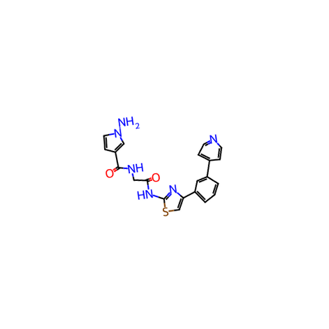 Nn1ccc(C(=O)NCC(=O)Nc2nc(-c3cccc(-c4ccncc4)c3)cs2)c1